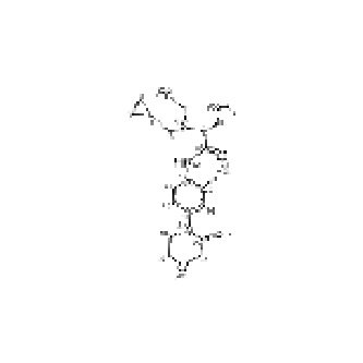 CC(C)CN(CC1CC1)[C@@H](CN)C(=O)Nc1ccc(N2CCOCC2=O)cc1F